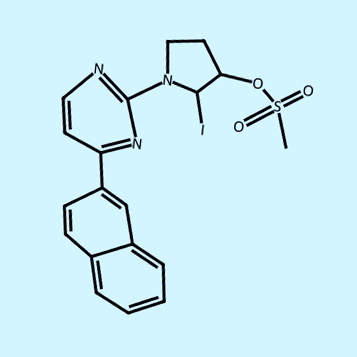 CS(=O)(=O)OC1CCN(c2nccc(-c3ccc4ccccc4c3)n2)C1I